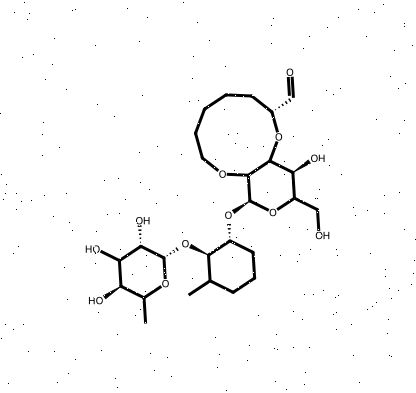 CC1O[C@@H](O[C@@H]2C(C)CCC[C@H]2O[C@@H]2OC(CO)[C@H](O)C3O[C@@H](C=O)CCCCCOC32)[C@@H](O)C(O)[C@@H]1O